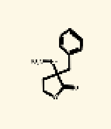 O=C(O)NC1(Cc2ccccc2)CCOC1=O